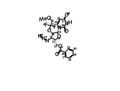 COCC(F)(F)O[C@@H]1C(N=[N+]=[N-])[C@@H](COC(=O)c2ccccc2)O[C@H]1n1ccc(=O)[nH]c1=O